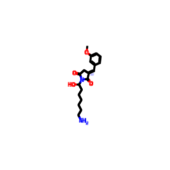 COc1cccc(/C=C2\CC(=O)N(C(O)CCCCCCN)C2=O)c1